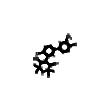 CCc1ccc(-c2ccc(Cl)c(C(F)(F)F)c2)cc1C1=C(O)C(C)(C)OC(C)(C)C1=O